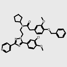 COc1ccc(-c2nc(-c3ccncc3)nn2CCN(C(=O)Cc2ccc(OCc3ccccc3)c(OC)c2)C2CCCC2)cc1Cl